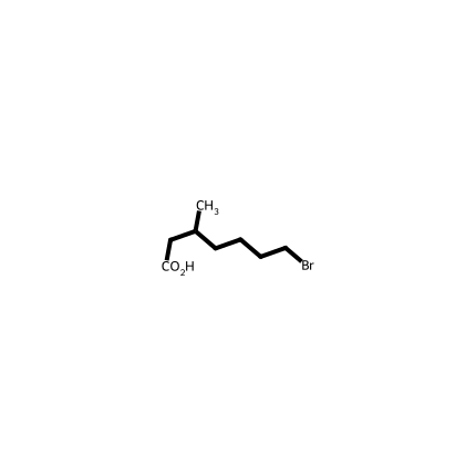 CC(CCCCBr)CC(=O)O